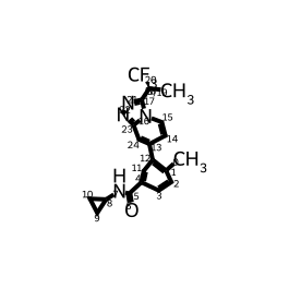 Cc1ccc(C(=O)NC2CC2)cc1-c1ccn2c([C@H](C)C(F)(F)F)nnc2c1